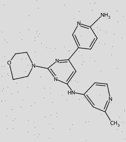 Cc1cc(Nc2cc(-c3ccc(N)nc3)nc(N3CCOCC3)n2)ccn1